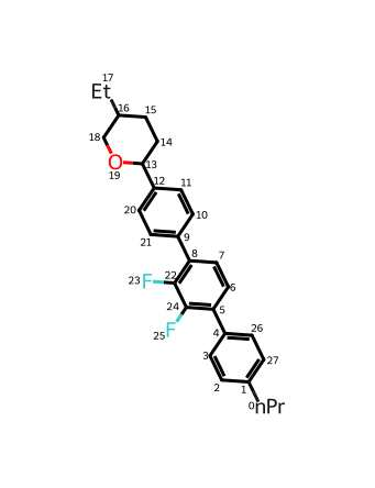 CCCc1ccc(-c2ccc(-c3ccc(C4CCC(CC)CO4)cc3)c(F)c2F)cc1